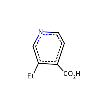 CCc1cnccc1C(=O)O